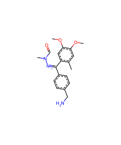 COc1cc(C)c(/C(=N\N(C)C=O)c2ccc(CN)cc2)cc1OC